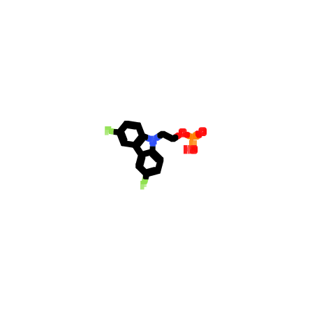 O=[PH](O)OCCn1c2ccc(F)cc2c2cc(F)ccc21